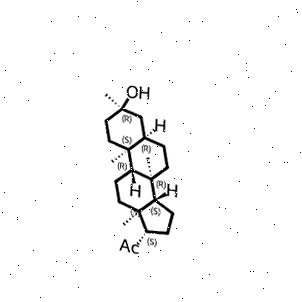 CC(=O)[C@H]1CC[C@H]2[C@]3(C)CC[C@@H]4C[C@](C)(O)CC[C@]4(C)[C@H]3CC[C@@]21C